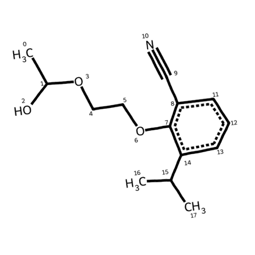 CC(O)OCCOc1c(C#N)cccc1C(C)C